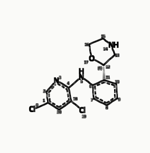 Clc1cnc(Nc2ccccc2[C@H]2CNCCO2)c(Cl)c1